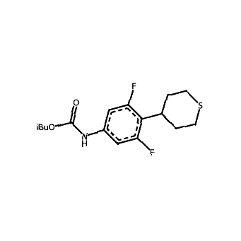 CC(C)COC(=O)Nc1cc(F)c(C2CCSCC2)c(F)c1